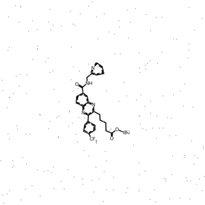 CC(C)(C)OC(=O)CCCCc1nc2cc(C(=O)NCc3ccccn3)ccc2nc1-c1ccc(C(F)(F)F)cc1